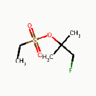 CCS(=O)(=O)OC(C)(C)CF